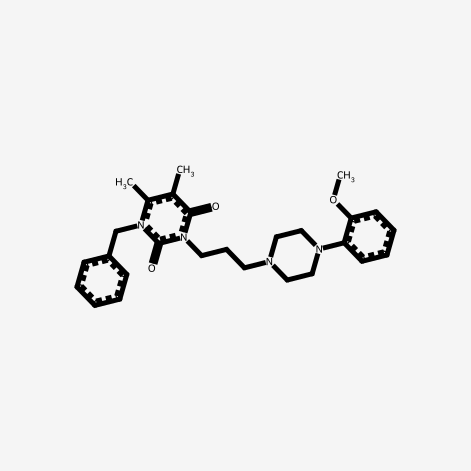 COc1ccccc1N1CCN(CCCn2c(=O)c(C)c(C)n(Cc3ccccc3)c2=O)CC1